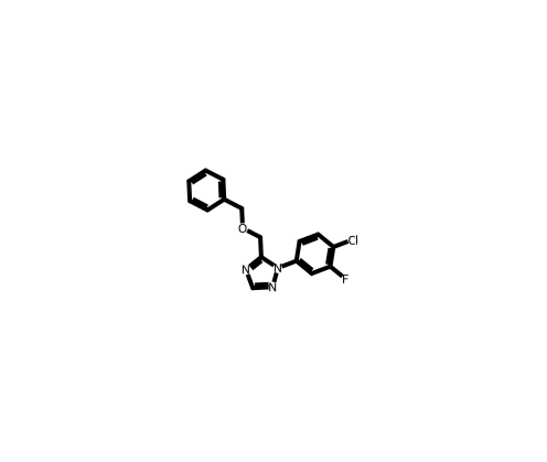 Fc1cc(-n2ncnc2COCc2ccccc2)ccc1Cl